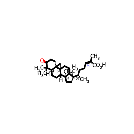 C/C(=C/CC[C@@H](C)[C@H]1CC[C@@]2(C)[C@@H]3CC[C@H]4C(C)(C)C(=O)CC[C@@]45C[C@@]35CC[C@]12C)C(=O)O